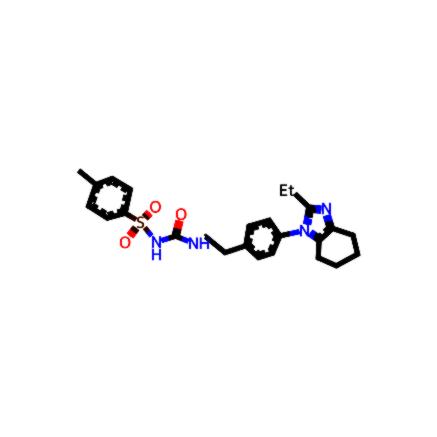 CCc1nc2c(n1-c1ccc(CCNC(=O)NS(=O)(=O)c3ccc(C)cc3)cc1)CCCC2